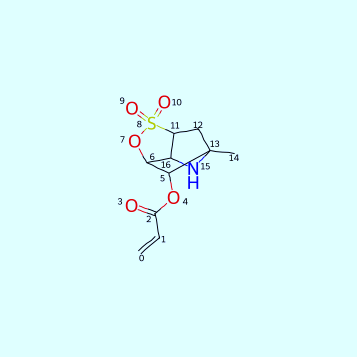 C=CC(=O)OC1C2OS(=O)(=O)C3CC1(C)NC23